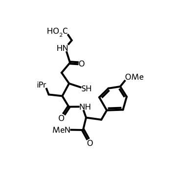 CNC(=O)C(Cc1ccc(OC)cc1)NC(=O)C(CC(C)C)C(S)CC(=O)NCC(=O)O